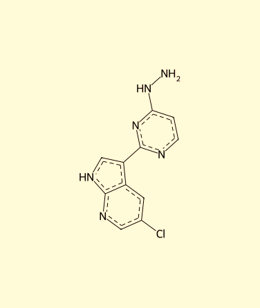 NNc1ccnc(-c2c[nH]c3ncc(Cl)cc23)n1